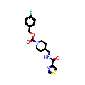 O=C(NCC1CCN(C(=O)OCc2ccc(F)cc2)CC1)c1cscn1